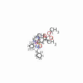 CCOC(=O)c1oc2ccc(S(=O)(=O)N(CCc3ccccc3)c3ccccc3N3CCN(C)CC3)cc2c1C